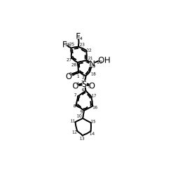 O=c1c(S(=O)(=O)c2ccc(C3CCCCC3)cc2)cn(O)c2cc(F)c(F)cc12